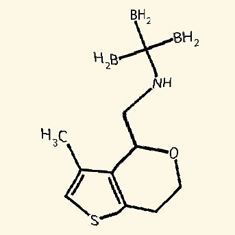 BC(B)(B)NCC1OCCc2scc(C)c21